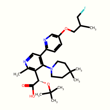 Cc1ncc(-c2ccc(OCC(C)CF)cn2)c(N2CCC(C)(C)CC2)c1[C@H](OC(C)(C)C)C(=O)O